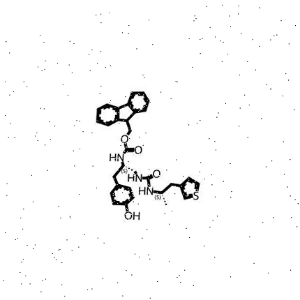 C[C@@H](Cc1ccsc1)NC(=O)NC[C@H](Cc1ccc(O)cc1)NC(=O)OCC1c2ccccc2-c2ccccc21